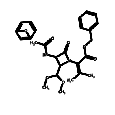 COC(OC)C1C(NC(C)=O)C(=O)N1C(C(=O)OCc1ccccc1)=C(C)C.c1cc2cc(c1)O2